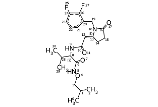 CC(C)CONC(=O)[C@@H](NC(=O)C[C@@H]1CCC(=O)N1Cc1cccc(F)c1F)C(C)C